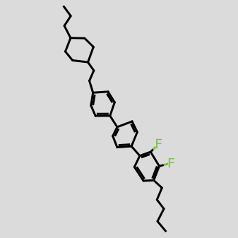 CCCCCc1ccc(-c2ccc(-c3ccc(CCC4CCC(CCC)CC4)cc3)cc2)c(F)c1F